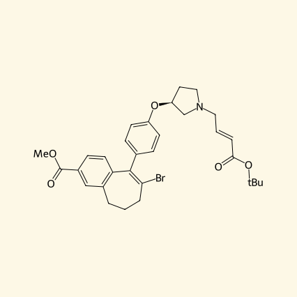 COC(=O)c1ccc2c(c1)CCCC(Br)=C2c1ccc(O[C@H]2CCN(CC=CC(=O)OC(C)(C)C)C2)cc1